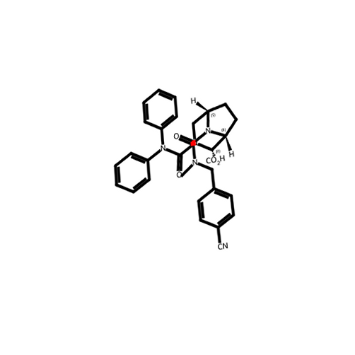 CN(Cc1ccc(C#N)cc1)C(=O)N1[C@H]2CC[C@@H]1[C@H](C(=O)O)N(C(=O)N(c1ccccc1)c1ccccc1)C2